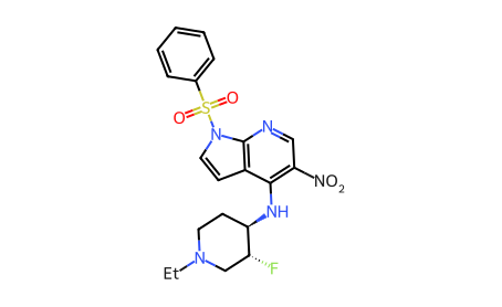 CCN1CC[C@@H](Nc2c([N+](=O)[O-])cnc3c2ccn3S(=O)(=O)c2ccccc2)[C@H](F)C1